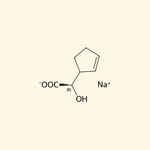 O=C([O-])[C@H](O)C1C=CCC1.[Na+]